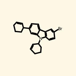 Brc1ccc2c(c1)c1ccc(C3C=CCCC3)cc1n2C1C=CCCC1